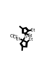 CCC1=CC(C)=C[C]1(CC)[Zr+2][C]1(CC)C=C(C)C=C1CC.[Cl-].[Cl-]